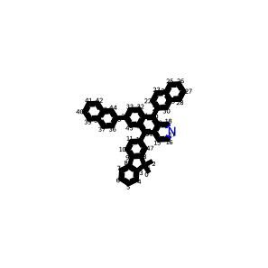 CC1(C)c2ccccc2-c2ccc(-c3c4ccncc4c(-c4ccc5ccccc5c4)c4ccc(-c5ccc6ccccc6c5)cc34)cc21